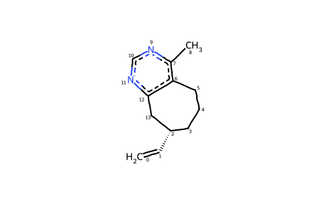 C=C[C@H]1CCCc2c(C)ncnc2C1